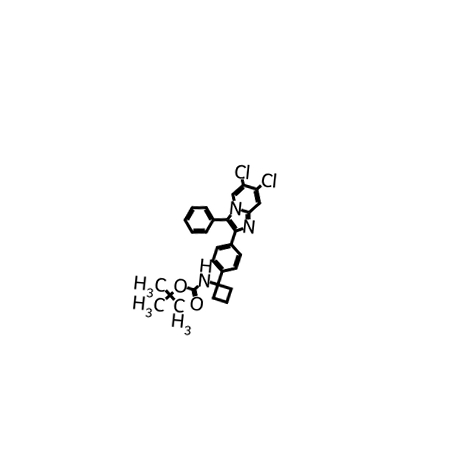 CC(C)(C)OC(=O)NC1(c2ccc(-c3nc4cc(Cl)c(Cl)cn4c3-c3ccccc3)cc2)CCC1